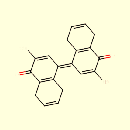 CC(C)(C)C1=C/C(=C2/C=C(C(C)(C)C)C(=O)C3=C2CC=CC3)C2=C(CC=CC2)C1=O